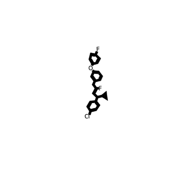 FC(=CC(c1ccc(Cl)cc1)C1CC1)Cc1cccc(Oc2ccc(F)cc2)c1